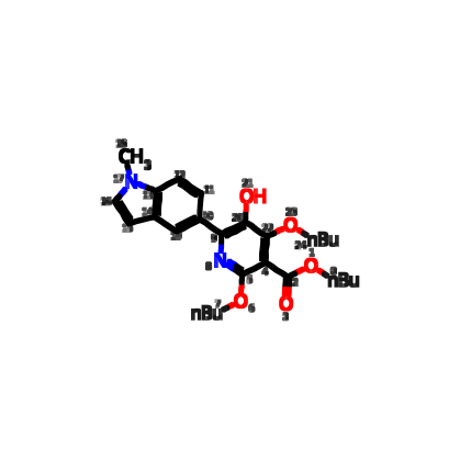 CCCCOC(=O)c1c(OCCCC)nc(-c2ccc3c(ccn3C)c2)c(O)c1OCCCC